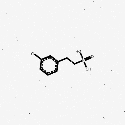 O=P(O)(O)CCc1cccc(Cl)c1